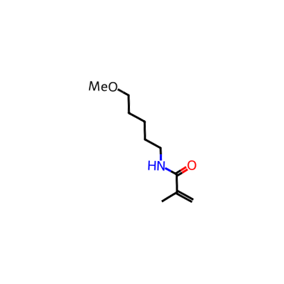 C=C(C)C(=O)NCCCCCOC